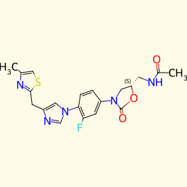 CC(=O)NC[C@H]1CN(c2ccc(-n3cnc(Cc4nc(C)cs4)c3)c(F)c2)C(=O)O1